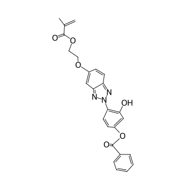 C=C(C)C(=O)OCCOc1ccc2nn(-c3ccc(OC(=O)c4ccccc4)cc3O)nc2c1